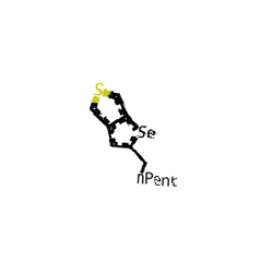 CCCCCCc1cc2cscc2[se]1